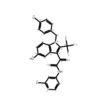 O=C(Nc1ccnc(Cl)c1)C(=O)c1c(C(F)(F)F)n(Cc2ccc(Cl)cc2)c2ccc(O)cc12